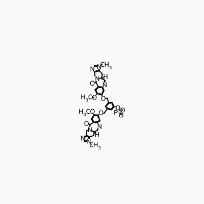 COc1cc2c(cc1OCc1cc(COc3cc4c(cc3OC)C(=O)N3Cc5ncn(C)c5C[C@H]3C=N4)cc(OS(=O)(=O)F)c1)N=C[C@@H]1Cc3c(ncn3C)CN1C2=O